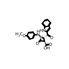 COc1ccc(NN2C(=O)[C@H](C(=O)O)[C@H]2C(=O)c2cc3ccccc3[nH]2)cc1